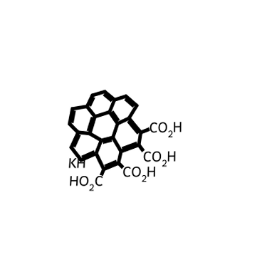 O=C(O)c1c(C(=O)O)c2c(C(=O)O)c(C(=O)O)c3ccc4ccc5ccc6ccc1c1c6c5c4c3c21.[KH]